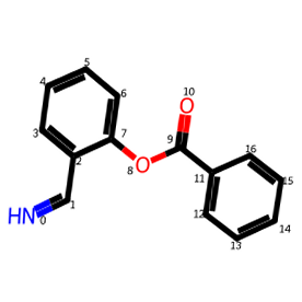 N=Cc1ccccc1OC(=O)c1ccccc1